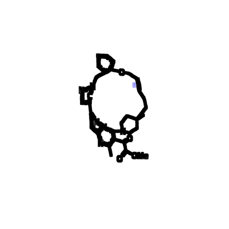 COC(=O)C(=O)c1c(C)nc2cc3nn2c1N1CCC(C)(CC/C=C/COc2ccccc2Cn2cc-3cn2)CC1